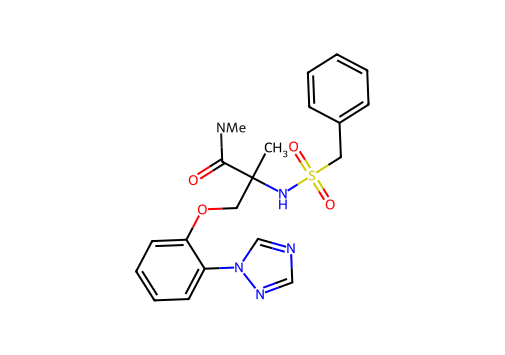 CNC(=O)C(C)(COc1ccccc1-n1cncn1)NS(=O)(=O)Cc1ccccc1